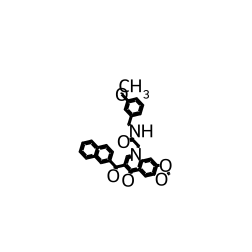 COc1cccc(CNC(=O)Cn2cc(C(=O)c3ccc4ccccc4c3)c(=O)c3cc4c(cc32)OCO4)c1